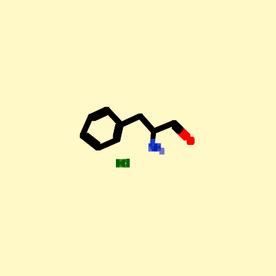 Cl.NC(C=O)Cc1ccccc1